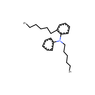 CC(C)CCCCCc1ccccc1N(CCCCCC(C)C)c1ccccc1